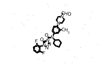 Cc1cc(N(C(=O)n2nnn(-c3c(F)cccc3F)c2=O)C2CCCCC2)ccc1N1CCN(C=O)CC1